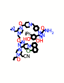 C=CC(=O)N1CCN(c2nc(OCCN3CCN(C(=O)C4CCN(Cc5ccc(-n6c(C(N)=O)nnc6-c6cc(C(C)C)c(O)cc6O)cc5)CC4)CC3CN(C)C)nc3c2CCN(c2cccc4cccc(Cl)c24)C3)CC1CC#N